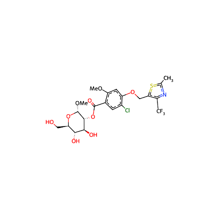 COc1cc(OCc2sc(C)nc2C(F)(F)F)c(Cl)cc1C(=O)O[C@H]1[C@@H](OC)O[C@H](CO)[C@@H](O)[C@@H]1O